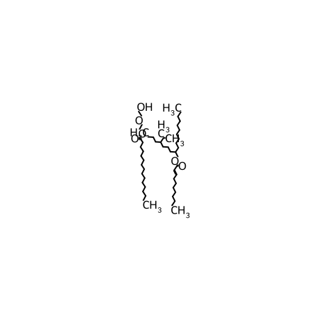 CCCCCCCCC=CC(=O)OCC(CCCCCCCCCC)CCCC(CCCC)C(C)C.CCCCCCCCCCCCCCCC(=O)OCCOCCO